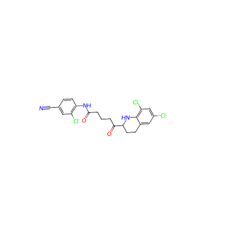 N#Cc1ccc(NC(=O)CCCC(=O)C2CCc3cc(Cl)cc(Cl)c3N2)c(Cl)c1